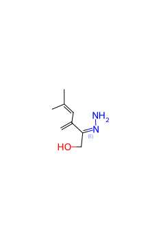 C=C(C=C(C)C)/C(CO)=N\N